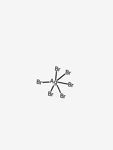 [Br][Ag]([Br])([Br])([Br])([Br])[Br]